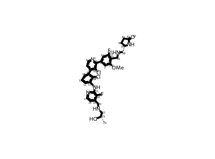 COc1cc(-c2nccc(-c3cccc(Nc4nccc(CNC[C@H](C)O)c4F)c3Cl)c2Cl)cc(F)c1CNC[C@@H]1CCC(=O)N1